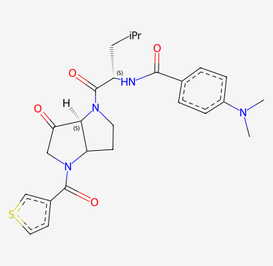 CC(C)C[C@H](NC(=O)c1ccc(N(C)C)cc1)C(=O)N1CCC2[C@H]1C(=O)CN2C(=O)c1ccsc1